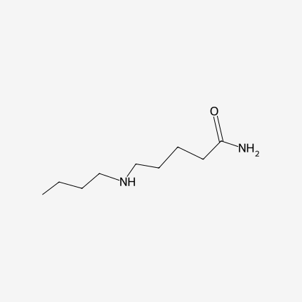 CCCCNCCCCC(N)=O